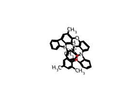 CCC1C2N(c3ccccc3N2c2c(C)cc(C)cc2C)c2cccc3c2[PH]12c1c(c(C)cc4c5ccccc5n(c14)-c1cccc[n+]12)O3